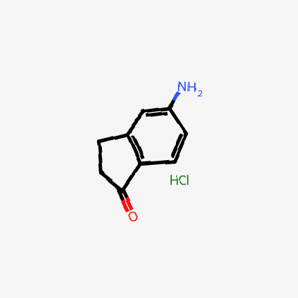 Cl.Nc1ccc2c(c1)CCC2=O